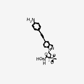 C[C@@](CCn1ncc2cc(C#Cc3ccc(N)cc3)ccc21)(C(=O)NO)S(C)(=O)=O